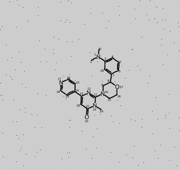 CN(C)c1cccc(C2CN(c3nc(-c4ccncc4)cc(=O)n3C)CCO2)c1